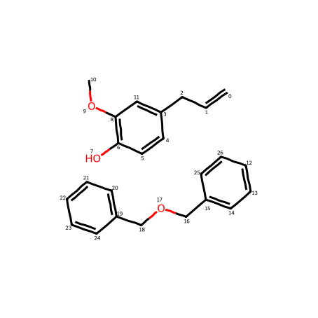 C=CCc1ccc(O)c(OC)c1.c1ccc(COCc2ccccc2)cc1